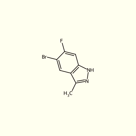 Cc1n[nH]c2cc(F)c(Br)cc12